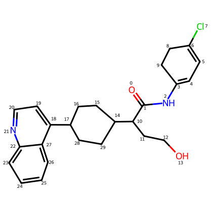 O=C(NC1=CC=C(Cl)CC1)C(CCO)C1CCC(c2ccnc3ccccc23)CC1